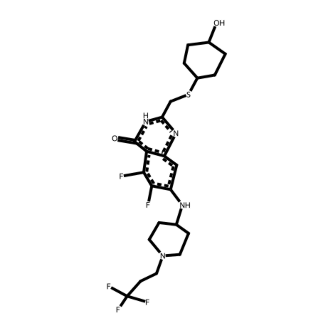 O=c1[nH]c(CSC2CCC(O)CC2)nc2cc(NC3CCN(CCC(F)(F)F)CC3)c(F)c(F)c12